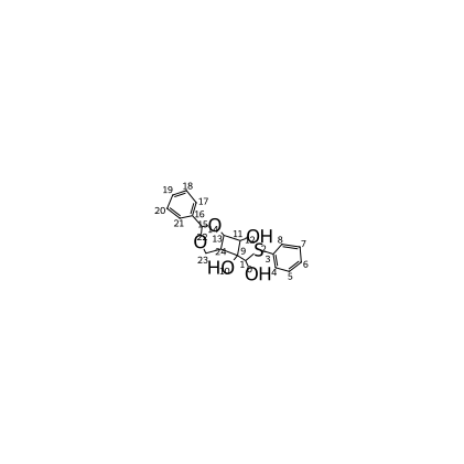 OC(Sc1ccccc1)C1(O)C(O)C2OC(c3ccccc3)OCC21